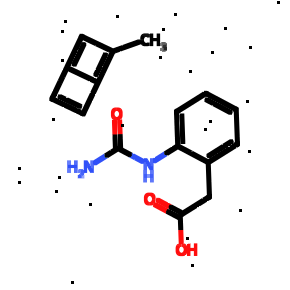 Cc1cc2ccc1-2.NC(=O)Nc1ccccc1CC(=O)O